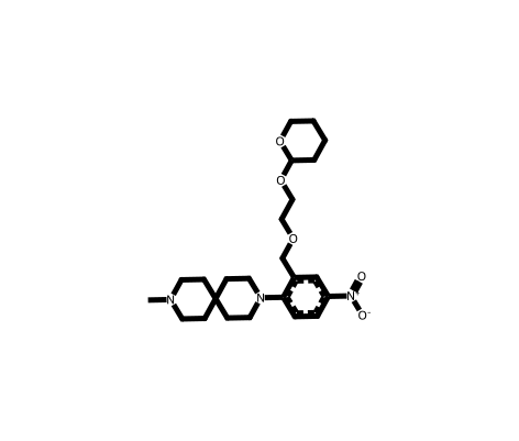 CN1CCC2(CC1)CCN(c1ccc([N+](=O)[O-])cc1COCCOC1CCCCO1)CC2